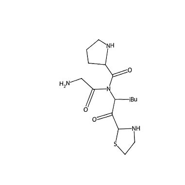 CCC(C)C(C(=O)C1NCCS1)N(C(=O)CN)C(=O)C1CCCN1